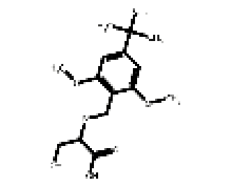 COc1cc(C(C)(C)C)cc(OC)c1CNC(CO)C(=O)O